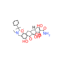 CCN(Cc1cc(O)c2c(c1OC)CC1C[C@H]3CC(O)=C(C(N)=O)C(=O)[C@@]3(O)C(O)=C1C2=O)CC(C)(C)c1ccccc1